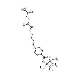 CC1(C)OB(c2ccc(OCCCCNC(=O)CCC(=O)O)cc2)OC1(C)C